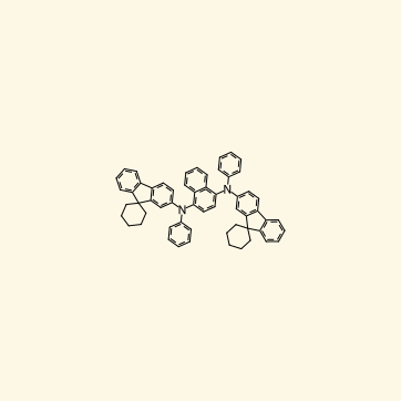 c1ccc(N(c2ccc3c(c2)C2(CCCCC2)c2ccccc2-3)c2ccc(N(c3ccccc3)c3ccc4c(c3)C3(CCCCC3)c3ccccc3-4)c3ccccc23)cc1